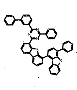 c1ccc(-c2cccc(-c3nc(-c4ccccc4)nc(-c4cccc5c4sc4c(-c6ccc(-c7ccccc7)c7sc8ccccc8c67)cccc45)n3)c2)cc1